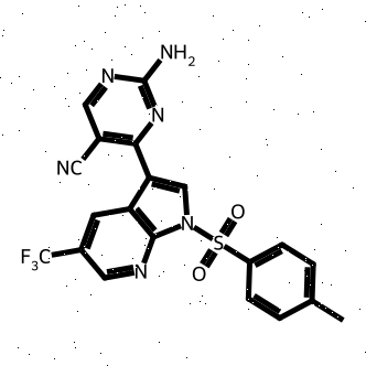 Cc1ccc(S(=O)(=O)n2cc(-c3nc(N)ncc3C#N)c3cc(C(F)(F)F)cnc32)cc1